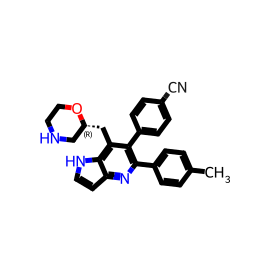 Cc1ccc(-c2nc3cc[nH]c3c(C[C@@H]3CNCCO3)c2-c2ccc(C#N)cc2)cc1